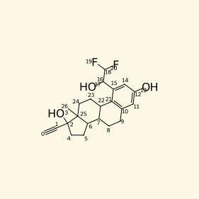 C#CC1(O)CCC2C3CCc4cc(O)cc(C(O)C(F)F)c4C3CCC21C